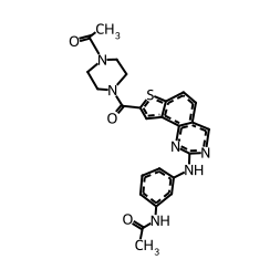 CC(=O)Nc1cccc(Nc2ncc3ccc4sc(C(=O)N5CCN(C(C)=O)CC5)cc4c3n2)c1